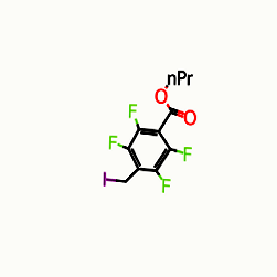 CCCOC(=O)c1c(F)c(F)c(CI)c(F)c1F